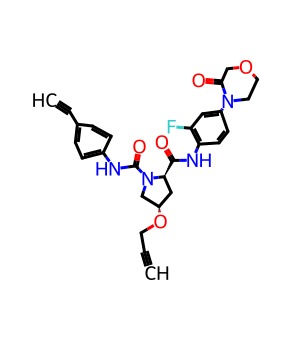 C#CCO[C@H]1C[C@H](C(=O)Nc2ccc(N3CCOCC3=O)cc2F)N(C(=O)Nc2ccc(C#C)cc2)C1